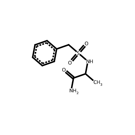 CC(NS(=O)(=O)Cc1ccccc1)C(N)=O